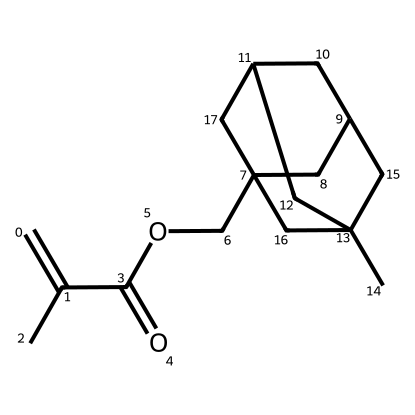 C=C(C)C(=O)OCC12CC3CC(CC(C)(C3)C1)C2